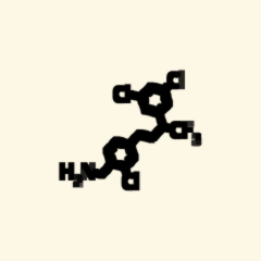 NCc1ccc(/C=C/C(c2cc(Cl)cc(Cl)c2)C(F)(F)F)cc1Cl